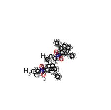 Cc1cc(Cc2cc3c(-c4ccccc4)cc4c5c(=O)n(-c6ccc(C)c(C)c6)c(=O)c5c5cc(-c6ccccc6)c6ccc2c2c6c5c4c32)cc(-n2c(=O)c3c4cc(-c5ccccc5)c5ccc6ccc7c(-c8ccccc8)cc(c3c2=O)c2c7c6c5c42)c1